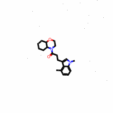 Cc1cccc2c1c(CCC(=O)N1CCOC3CCCCC31)cn2C